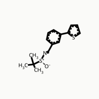 CC(C)(C)[S@@+]([O-])/N=C/c1cccc(-c2cccs2)c1